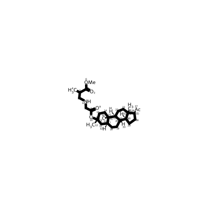 COC(=O)C(C)CNCC(=O)O[C@]1(C)CC[C@@]2(C)[C@@H](CC[C@@H]3[C@@H]2CC[C@]2(C)[C@@H](C(C)=O)CC[C@@H]32)C1